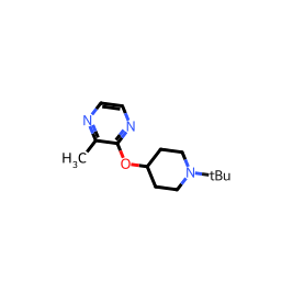 Cc1nccnc1OC1CCN(C(C)(C)C)CC1